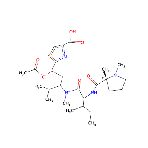 CCC(C)C(NC(=O)[C@@]1(C)CCCN1C)C(=O)N(C)C(CC(OC(C)=O)c1nc(C(=O)O)cs1)C(C)C